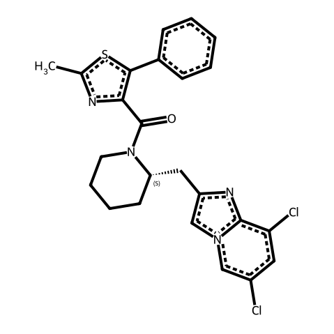 Cc1nc(C(=O)N2CCCC[C@H]2Cc2cn3cc(Cl)cc(Cl)c3n2)c(-c2ccccc2)s1